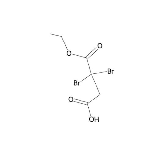 CCOC(=O)C(Br)(Br)CC(=O)O